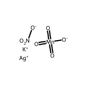 O=[N+]([O-])[O-].[Ag+].[K+].[O]=[Mn](=[O])(=[O])[O-]